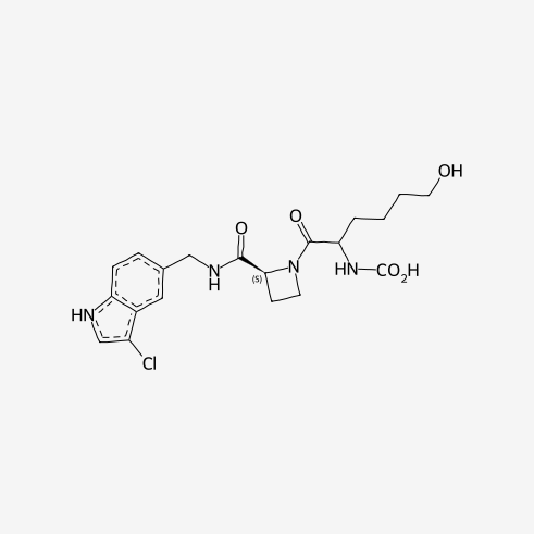 O=C(O)NC(CCCCO)C(=O)N1CC[C@H]1C(=O)NCc1ccc2[nH]cc(Cl)c2c1